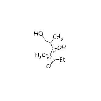 CCC(=O)[C@@H](C)[C@H](O)C(C)CO